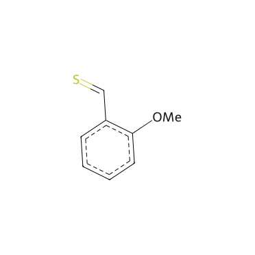 COc1ccccc1C=S